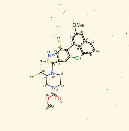 COc1cc(-c2c(Cl)cc3c(N4CCN(C(=O)OC(C)(C)C)CC4C(F)F)snc3c2F)c2ccccc2c1